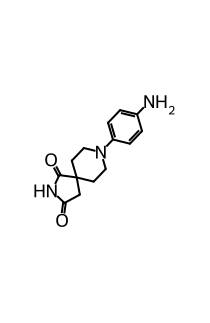 Nc1ccc(N2CCC3(CC2)CC(=O)NC3=O)cc1